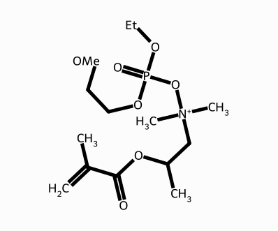 C=C(C)C(=O)OC(C)C[N+](C)(C)OP(=O)(OCC)OCCOC